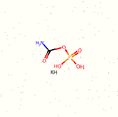 NC(=O)OP(=O)(O)O.[KH]